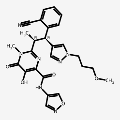 COCCCn1cc([C@H](c2ccccc2C#N)[C@H](C)c2nc(C(=O)Nc3cnoc3)c(O)c(=O)n2C)cn1